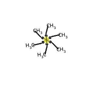 CCCCCCCCCCCC[C@H]1CC[C@H](CSc2c(SC[C@H]3CC[C@H](CCCCCCCCCCCC)CC3)c(SC[C@H]3CC[C@H](CCCCCCCCCCCC)CC3)c(SC[C@H]3CC[C@H](CCCCCCCCCCCC)CC3)c(SC[C@H]3CC[C@H](CCCCCCCCCCCC)CC3)c2SC[C@H]2CC[C@H](CCCCCCCCCCCC)CC2)CC1